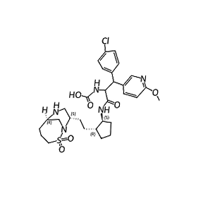 COc1ccc(C(c2ccc(Cl)cc2)C(NC(=O)O)C(=O)N[C@H]2CCC[C@@H]2CC[C@H]2CN[C@@H]3CCCS(=O)(=O)N2C3)cn1